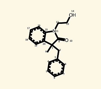 CC1(Cc2ccccc2)C(=O)N(CCO)c2ccccc21